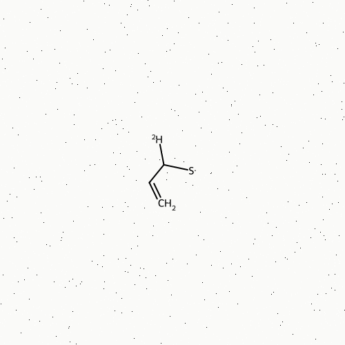 [2H]C([S])C=C